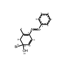 CC1=C(N=Nc2ccccc2)C=CC(O)(Br)C1